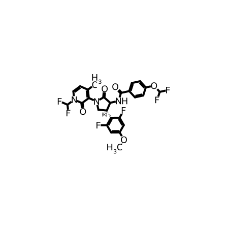 COc1cc(F)c([C@@H]2CN(c3c(C)ccn(C(F)F)c3=O)C(=O)C2NC(=O)c2ccc(OC(F)F)cc2)c(F)c1